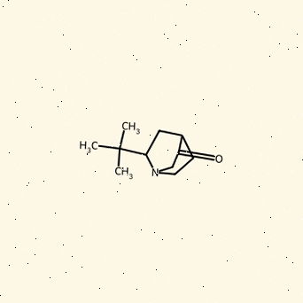 CC(C)(C)C1CC2CCN1CC2=O